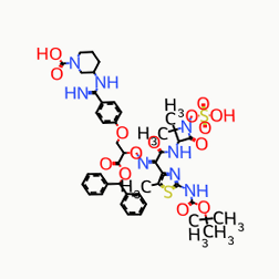 Cc1sc(NC(=O)OC(C)(C)C)nc1C(=NOC(COc1ccc(C(=N)NC2CCCN(C(=O)O)C2)cc1)C(=O)OC(c1ccccc1)c1ccccc1)C(=O)NC1C(=O)N(OS(=O)(=O)O)C1(C)C